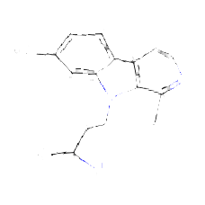 COc1ccc2c3ccnc(C)c3n(CCC(N)C#N)c2c1